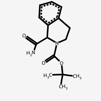 CC(C)(C)OC(=O)N1CCc2ccccc2C1C(N)=O